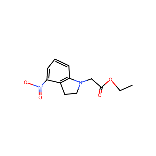 CCOC(=O)CN1CCc2c1cccc2[N+](=O)[O-]